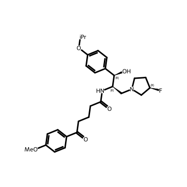 COc1ccc(C(=O)CCCC(=O)N[C@H](CN2CC[C@@H](F)C2)[C@H](O)c2ccc(OC(C)C)cc2)cc1